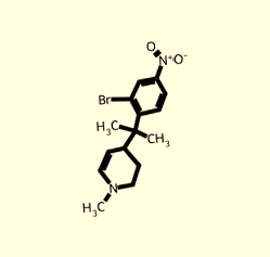 CN1C=CC(C(C)(C)c2ccc([N+](=O)[O-])cc2Br)CC1